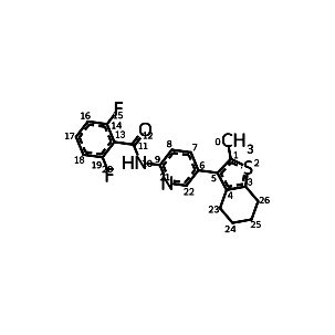 Cc1sc2c(c1-c1ccc(NC(=O)c3c(F)cccc3F)nc1)CCCC2